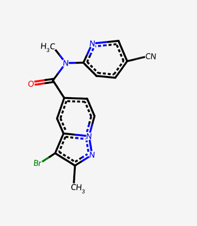 Cc1nn2ccc(C(=O)N(C)c3ccc(C#N)cn3)cc2c1Br